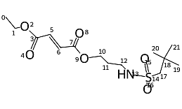 CCOC(=O)/C=C/C(=O)OCCCNS(=O)(=O)CC(C)(C)C